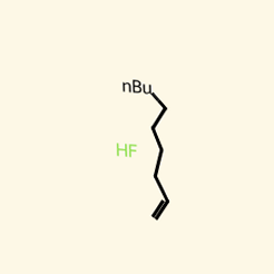 C=CCCCCCCCC.F